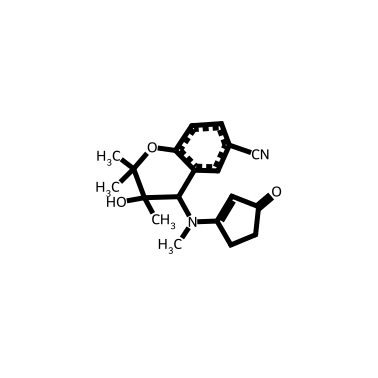 CN(C1=CC(=O)CC1)C1c2cc(C#N)ccc2OC(C)(C)C1(C)O